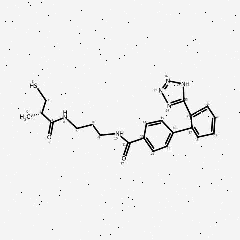 C[C@H](CS)C(=O)NCCCNC(=O)c1ccc(-c2ccccc2-c2nnn[nH]2)cc1